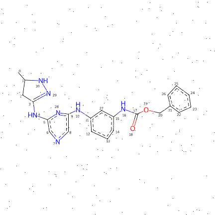 CC1CC(Nc2cncc(Nc3cccc(NC(=O)OCc4ccccc4)c3)n2)=NN1